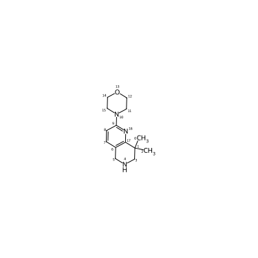 CC1(C)CNCc2ccc(N3CCOCC3)nc21